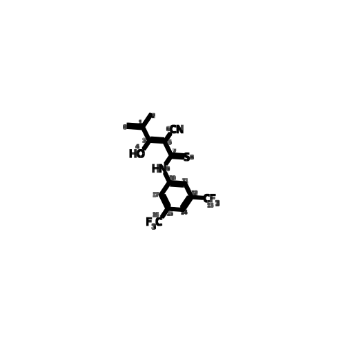 C=C(C)C(O)=C(C#N)C(=S)Nc1cc(C(F)(F)F)cc(C(F)(F)F)c1